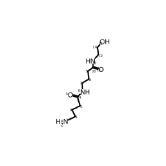 NCCCC(=O)NCCCC(=O)NCCO